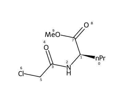 CCC[C@@H](NC(=O)CCl)C(=O)OC